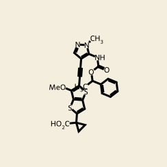 COc1c(C#Cc2cnn(C)c2NC(=O)OC(C)c2ccccc2)sc2cc(C3(C(=O)O)CC3)sc12